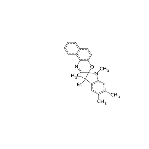 CCC1(C)c2cc(C)c(C)cc2N(C)C12C=Nc1c(ccc3ccccc13)O2